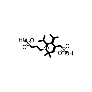 CC(C)=C1C(CS(=O)(=O)O)=CC(C)(C)[N+](CCCS(=O)(=O)O)=C1C(C)C